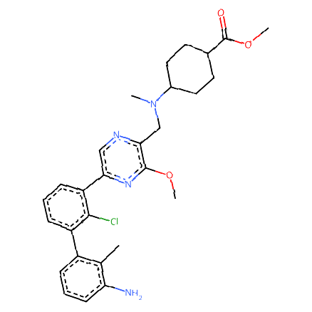 COC(=O)C1CCC(N(C)Cc2ncc(-c3cccc(-c4cccc(N)c4C)c3Cl)nc2OC)CC1